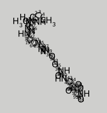 Cc1cccc(C)c1Nc1nn(C)c2nc(Nc3ccc4c(c3)CN(Cc3cn(CCOCCOCCNC(=O)CNc5ccc6c(c5)C(=O)N(C5CCC(=O)NC5=O)C6=O)nn3)CC4)ncc12